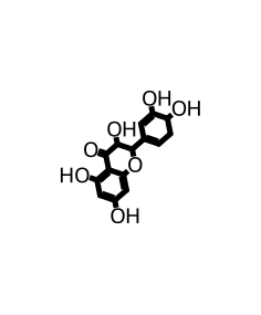 O=C1c2c(O)cc(O)cc2OC(C2=CCC(O)C(O)=C2)C1O